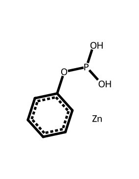 OP(O)Oc1ccccc1.[Zn]